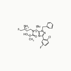 C[C@H](O)C(=O)N(CC[C@H](N)CF)[C@@H](c1nc(-c2cc(F)ccc2Cl)nn1Cc1ccccc1)C(C)(C)C